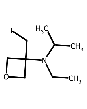 CCN(C(C)C)C1(CI)COC1